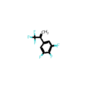 C=C(c1cc(F)c(F)c(F)c1)C(F)(F)F